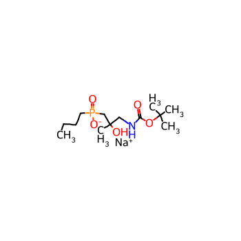 CCCCP(=O)([O-])CC(C)(O)CNC(=O)OC(C)(C)C.[Na+]